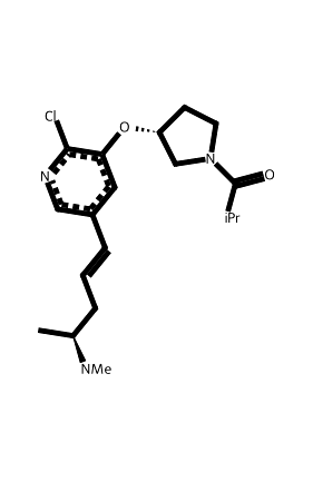 CN[C@@H](C)CC=Cc1cnc(Cl)c(O[C@@H]2CCN(C(=O)C(C)C)C2)c1